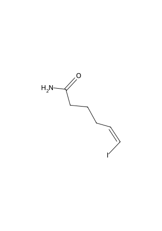 NC(=O)CCC/C=C\I